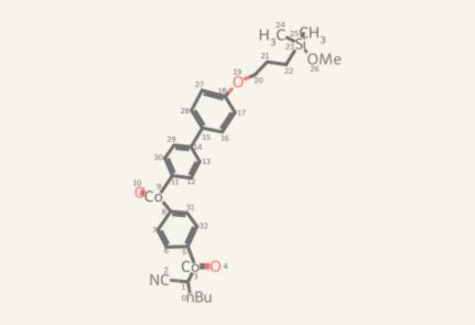 CCCC[CH](C#N)[Co](=[O])[c]1cc[c]([Co](=[O])[c]2ccc(-c3ccc(OCCC[Si](C)(C)OC)cc3)cc2)cc1